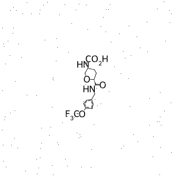 O=C(O)N[C@@H]1CC[C@@H](C(=O)NCc2ccc(OC(F)(F)F)cc2)OC1